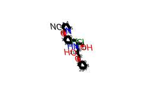 Cl.N#Cc1cccnc1Oc1cccc(C[C@@H](CO)NCC(O)COc2ccccc2)c1